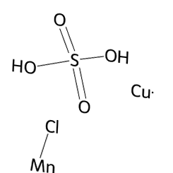 O=S(=O)(O)O.[Cl][Mn].[Cu]